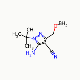 BOCc1nn(C(C)(C)C)c(N)c1C#N